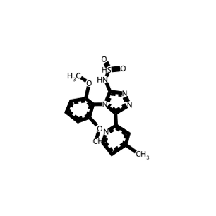 COc1cccc(OC)c1-n1c(N[SH](=O)=O)nnc1-c1cc(C)ccn1